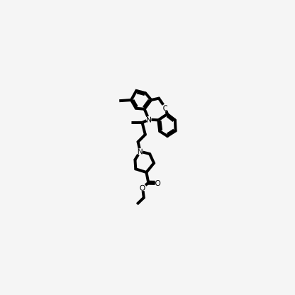 CCOC(=O)C1CCN(CCC(C)N2c3ccccc3CCc3ccc(C)cc32)CC1